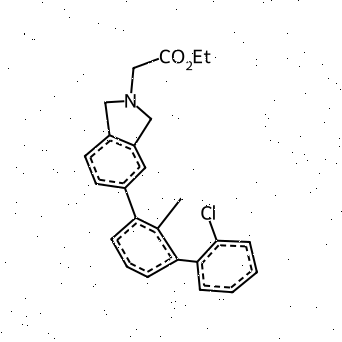 CCOC(=O)CN1Cc2ccc(-c3cccc(-c4ccccc4Cl)c3C)cc2C1